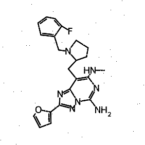 CNc1nc(N)n2nc(-c3ccco3)nc2c1CC1CCCN1Cc1ccccc1F